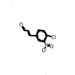 O=CC=Cc1ccc(Cl)c([N+](=O)[O-])c1